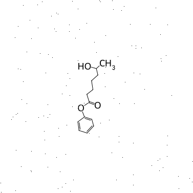 CC(O)CCCCC(=O)Oc1ccccc1